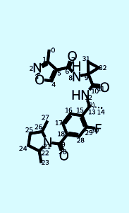 Cc1nocc1C(=O)NC1(C(=O)N[C@H](C)c2ccc(C(=O)N3C(C)CCC3C)cc2F)CC1